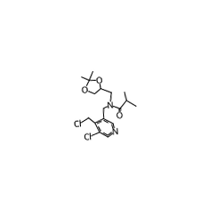 CC(C)C(=O)N(Cc1cncc(Cl)c1CCl)CC1COC(C)(C)O1